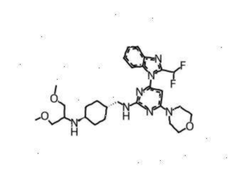 COCC(COC)N[C@H]1CC[C@H](CNc2nc(N3CCOCC3)cc(-n3c(C(F)F)nc4ccccc43)n2)CC1